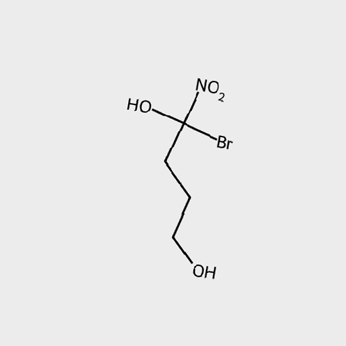 O=[N+]([O-])C(O)(Br)CCCO